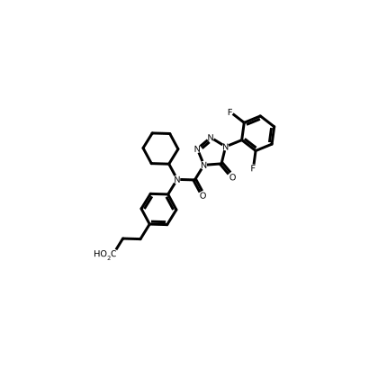 O=C(O)CCc1ccc(N(C(=O)n2nnn(-c3c(F)cccc3F)c2=O)C2CCCCC2)cc1